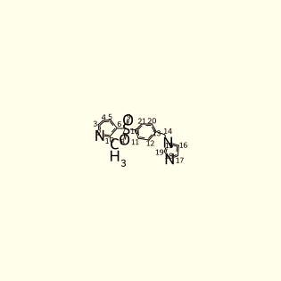 Cc1ncccc1S(=O)(=O)c1ccc(Cn2ccnc2)cc1